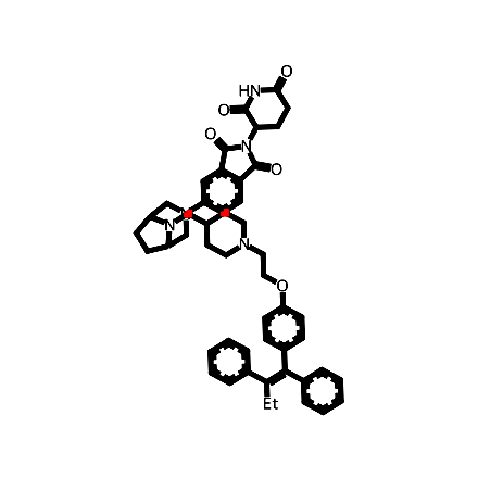 CCC(=C(c1ccccc1)c1ccc(OCCN2CCC(CN3C4CCC3CN(c3ccc5c(c3)C(=O)N(C3CCC(=O)NC3=O)C5=O)C4)CC2)cc1)c1ccccc1